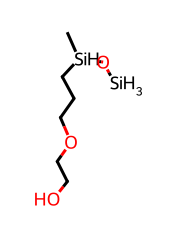 C[SiH](CCCOCCO)O[SiH3]